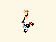 C[C@H](CCOCCCc1csc(-c2nn(C3CCCCO3)c3ccc(O[Si](C)(C)C(C)(C)C)cc23)n1)OS(C)(=O)=O